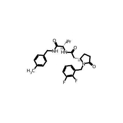 Cc1ccc(CNC(=O)[C@@H](NC(=O)C[C@@H]2CCC(=O)N2Cc2cccc(F)c2F)C(C)C)cc1